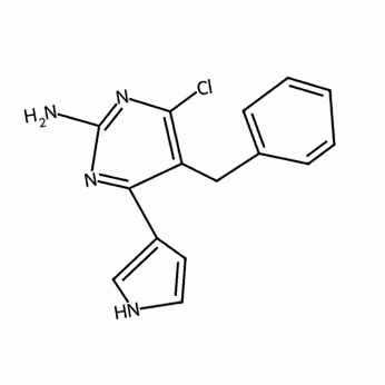 Nc1nc(Cl)c(Cc2ccccc2)c(-c2cc[nH]c2)n1